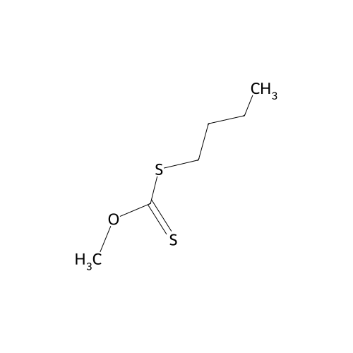 CCCCSC(=S)OC